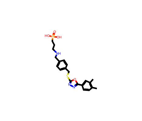 Cc1ccc(-c2nnc(SCc3ccc(CNCCCP(=O)(O)O)cc3)o2)cc1C